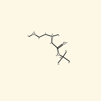 COCCN(C)CC(=O)OC(C)(C)C